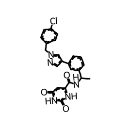 CC(NC(=O)c1cc(=O)[nH]c(=O)[nH]1)c1cccc(-c2cnn(Cc3ccc(Cl)cc3)c2)c1